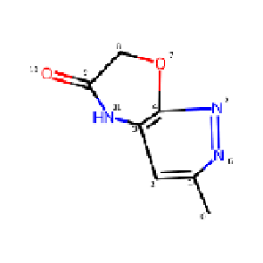 Cc1cc2c(nn1)OCC(=O)N2